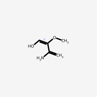 C=C(N)/C(=C\O)OC